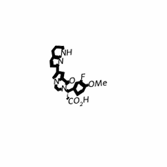 COc1ccc([C@H](CC(=O)O)N2CCn3cc(-c4ccc5c(n4)NCCC5)cc3C2=O)cc1F